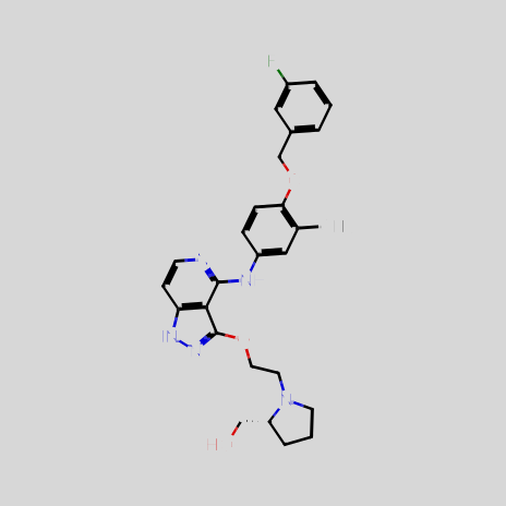 Cc1cc(Nc2nccc3[nH]nc(OCCN4CCC[C@@H]4CO)c23)ccc1OCc1cccc(F)c1